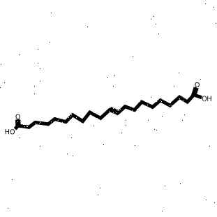 O=C(O)CCCCCCCC/C=C/CCCCCCCCCC(=O)O